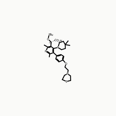 Cc1nc(C)c([C@H](OC(C)(C)C)C(=O)O)c(N2CCC(C)(C)CC2)c1-c1ccc(OCCN2CCSCC2)cc1